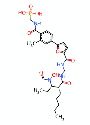 CCCCC[C@@H](C(=O)NCNC(=O)c1ccc(-c2ccc(C(=O)NCP(=O)(O)O)c(C)c2)o1)[C@@H](CC)N(O)C=O